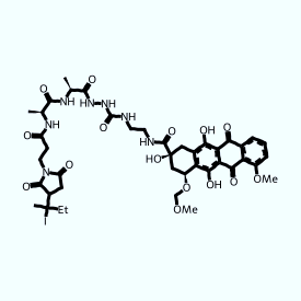 CCC(C)(I)C1CC(=O)N(CCC(=O)N[C@@H](C)C(=O)N[C@@H](C)C(=O)NNC(=O)NCCNC(=O)[C@]2(O)Cc3c(O)c4c(c(O)c3[C@@H](OCOC)C2)C(=O)c2c(OC)cccc2C4=O)C1=O